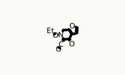 CCON1Cc2occc2C(=O)C1=C=O